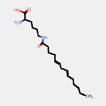 CCCCCC=CCC=CCCCC(=O)NCCCCC(N)C(=O)O